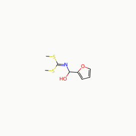 CSC(=NC(O)c1ccco1)SC